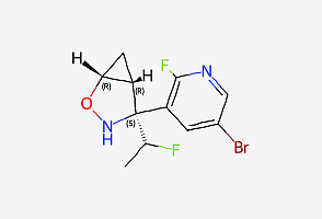 CC(F)[C@]1(c2cc(Br)cnc2F)NO[C@@H]2C[C@@H]21